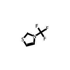 FC(F)(F)N1[CH]SC=C1